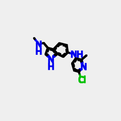 CNCc1c[nH]c2cc(Nc3ccc(Cl)nc3C)ccc12